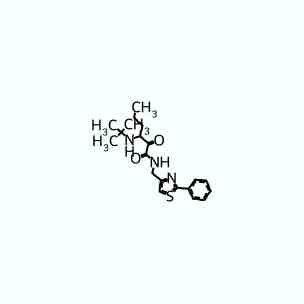 CCCC(NC(C)(C)C)C(=O)C(=O)NCc1csc(-c2ccccc2)n1